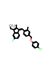 CC1=C(CC(=O)O)c2cc(F)ccc2/C1=C\c1ccc(COc2ccc(Cl)cc2)cc1C